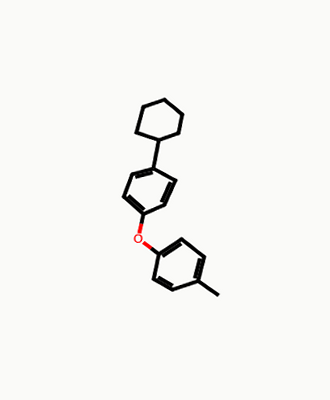 Cc1ccc(Oc2ccc(C3CCCCC3)cc2)cc1